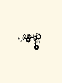 NC(=O)c1cccc2c(-c3nc(NCc4ccccc4)c4c(n3)OCCCC4)noc12